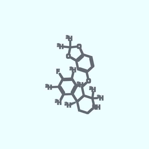 [2H]c1c([2H])c([C@]2([2H])CCNC([2H])([2H])C2COc2ccc3c(c2)OC([2H])([2H])O3)c([2H])c([2H])c1F